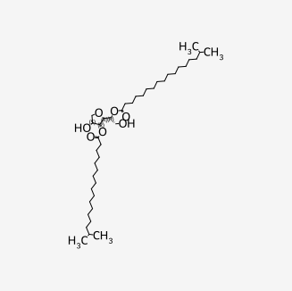 CC(C)CCCCCCCCCCCCCCC(=O)O[C@H]1[C@@H]([C@@H](CO)OC(=O)CCCCCCCCCCCCCCC(C)C)OC[C@@H]1O